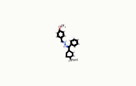 CCCCCC1CCC(C(=NN=Cc2ccc(OC(F)(F)F)cc2)c2ccccc2)CC1